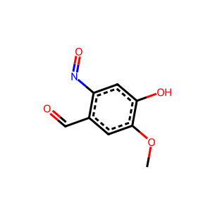 COc1cc(C=O)c(N=O)cc1O